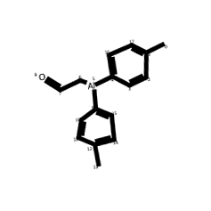 Cc1cc[c]([Al]([CH2]C=O)[c]2ccc(C)cc2)cc1